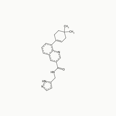 CC1(C)CC=C(c2cccc3cc(C(=O)NCc4ccn[nH]4)cnc23)CC1